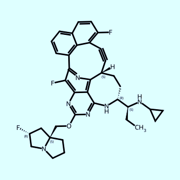 CC[C@H](NC1CC1)[C@H]1CC[C@H]2C#Cc3c(F)ccc4cccc(c34)-c3nc2c2c(nc(OC[C@@]45CCCN4C[C@H](F)C5)nc2c3F)N1